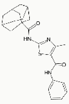 Cc1nc(NC(=O)C23CC4CC(CC(C4)C2)C3)sc1C(=O)Nc1ccccc1